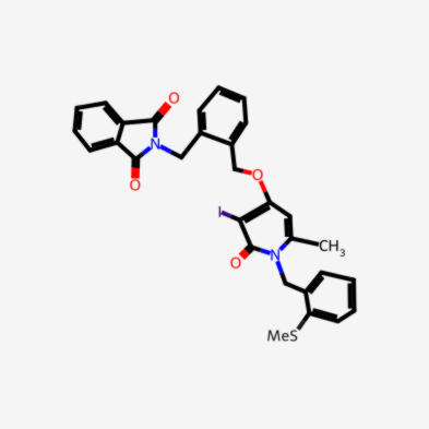 CSc1ccccc1Cn1c(C)cc(OCc2ccccc2CN2C(=O)c3ccccc3C2=O)c(I)c1=O